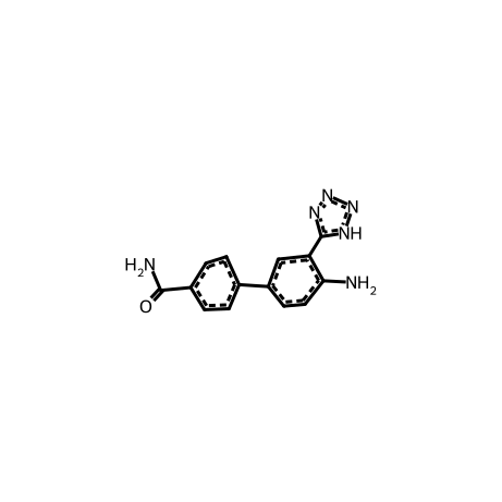 NC(=O)c1ccc(-c2ccc(N)c(-c3nnn[nH]3)c2)cc1